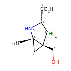 Cl.O=C(O)[C@@H]1C[C@]2(CO)C[C@@H]2N1